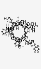 CC(O)C(CO)NC(=O)C1CSSCC(NC(=O)CCNC(=O)CCc2ccccc2)C(=O)NC(Cc2ccc(O)cc2)C(=O)NC(Cc2c[nH]c3ccccc23)C(=O)NC(CCCCN)C(=O)NC(C(C)O)C(=O)N1